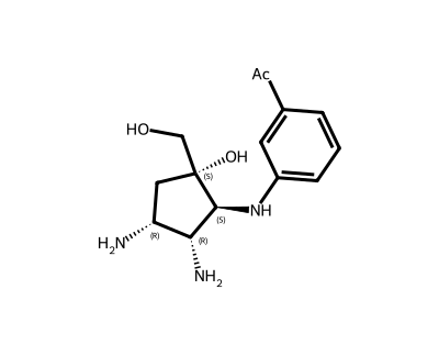 CC(=O)c1cccc(N[C@H]2[C@H](N)[C@H](N)C[C@@]2(O)CO)c1